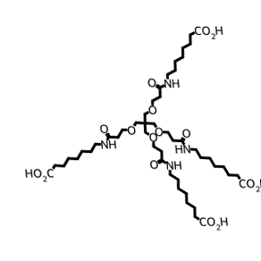 O=C(O)CCCCCCCNC(=O)CCOCC(COCCC(=O)NCCCCCCCC(=O)O)(COCCC(=O)NCCCCCCCC(=O)O)COCCC(=O)NCCCCCCCC(=O)O